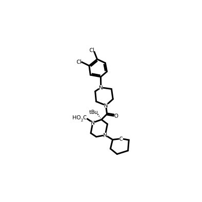 CC(C)(C)[C@]1(C(=O)N2CCN(c3ccc(Cl)c(Cl)c3)CC2)CN(C2CCCCC2)CCN1C(=O)O